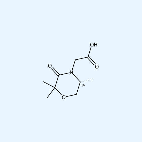 C[C@@H]1COC(C)(C)C(=O)N1CC(=O)O